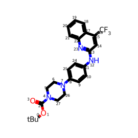 CC(C)(C)OC(=O)N1CCN(c2ccc(Nc3cc(C(F)(F)F)c4ccccc4n3)cc2)CC1